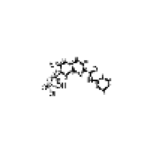 O=C(Nc1ccccc1)c1ccc2cc(Br)c(C(F)(F)OP(=O)(O)O)cc2n1